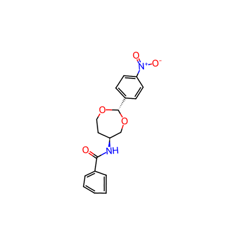 O=C(N[C@H]1CCO[C@H](c2ccc([N+](=O)[O-])cc2)OC1)c1ccccc1